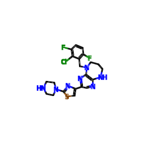 Fc1ccc(F)c(CN2CCCNc3ncc(-c4csc(N5CCNCC5)n4)nc32)c1Cl